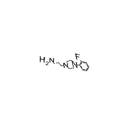 NCCCN1CCN(c2ccccc2F)CC1